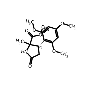 COC(=O)C1(C)NC(=O)C[C@H]1c1c(OC)cc(OC)cc1OC